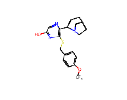 Oc1cnc(C2CCC3CCN2C3)c(SCc2ccc(OC(F)(F)F)cc2)n1